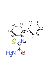 NC(Br)c1nc2c(-c3ccccc3)cccc2s1